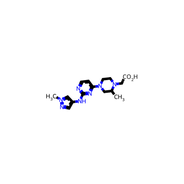 CC1CN(c2ccnc(Nc3cnn(C)c3)n2)CCN1CC(=O)O